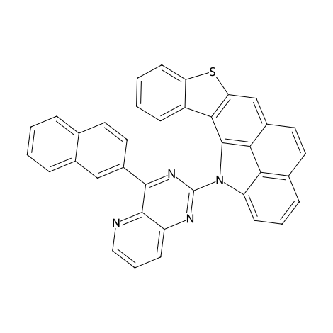 c1ccc2cc(-c3nc(-n4c5cccc6ccc7cc8sc9ccccc9c8c4c7c65)nc4cccnc34)ccc2c1